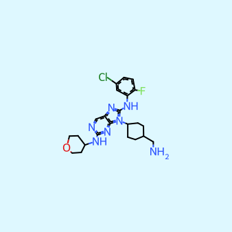 NCC1CCC(n2c(Nc3cc(Cl)ccc3F)nc3cnc(NC4CCOCC4)nc32)CC1